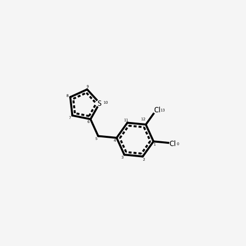 Clc1ccc(Cc2cccs2)cc1Cl